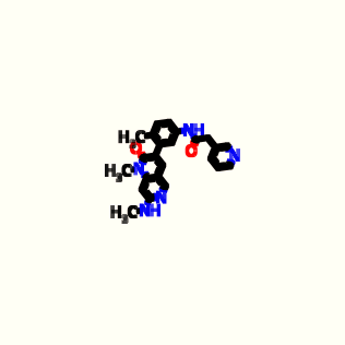 CNc1cc2c(cn1)cc(-c1cc(NC(=O)Cc3cccnc3)ccc1C)c(=O)n2C